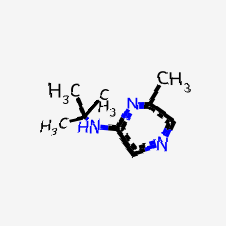 Cc1cncc(NC(C)(C)C)n1